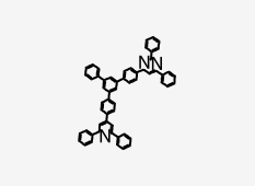 c1ccc(-c2cc(-c3ccc(-c4cc(-c5ccccc5)nc(-c5ccccc5)c4)cc3)cc(-c3ccc(-c4cc(-c5ccccc5)nc(-c5ccccc5)n4)cc3)c2)cc1